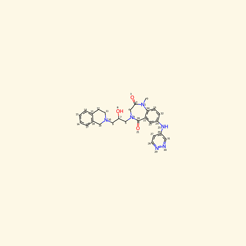 CN1C(=O)CN(CC(O)CN2CCc3ccccc3C2)C(=O)c2cc(Nc3ccnnc3)ccc21